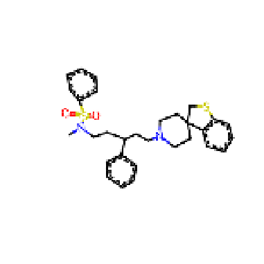 CN(CCC(CCN1CCC2(CC1)CSc1ccccc12)c1ccccc1)S(=O)(=O)c1ccccc1